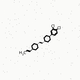 C/C=C/[C@H]1CC[C@H](CC[C@H]2CC[C@H](c3ccc(Cl)c(Cl)c3)CC2)CC1